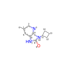 Cc1cnc2c(c1)[nH]c(=O)n2C1CCC1